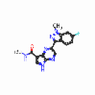 CC[C@H](C)NC(=O)c1c[nH]c2ncc(-c3nn(C)c4cc(F)ccc34)nc12